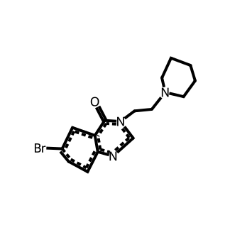 O=c1c2cc(Br)ccc2ncn1CCN1CCCCC1